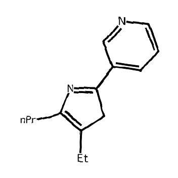 CCCC1=C(CC)CC(c2cccnc2)=N1